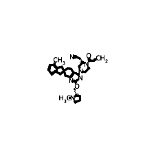 C=CC(=O)N1CCN(c2nc(OC[C@@H]3CCCN3C)nc3c2CCC2(Cc4cccc(C)c4C2)C3)C[C@@H]1CC#N